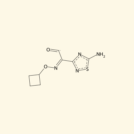 Nc1nc(/C([C]=O)=N/OC2CCC2)ns1